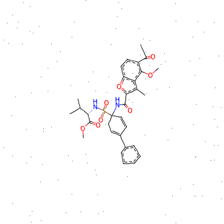 COC(=O)[C@@H](NS(=O)(=O)C1(NC(=O)c2oc3ccc(C(C)=O)c(OC)c3c2C)C=CC(c2ccccc2)=CC1)C(C)C